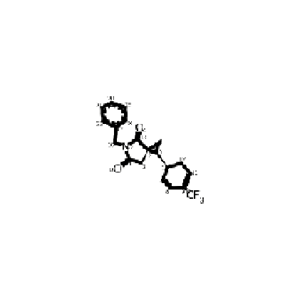 O=C1C[C@]2(CC2[C@@H]2C=CC(C(F)(F)F)=CC2)C(=O)N1Cc1ccccc1